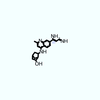 Cc1cc(NC2CC3CC(O)C2C3)c2ccc(/C(N)=C/C=N)cc2n1